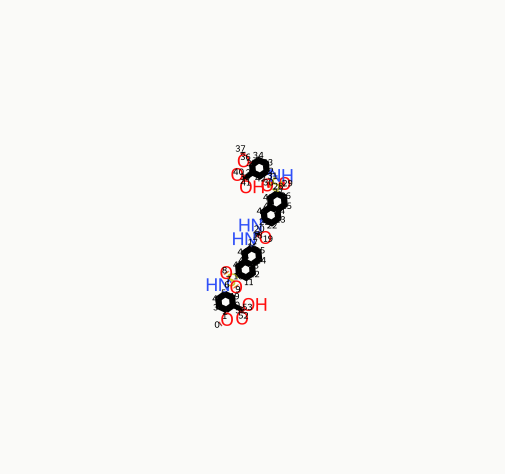 COc1ccc(NS(=O)(=O)c2ccc3ccc(NC(=O)Nc4ccc5ccc(S(=O)(=O)Nc6ccc(OC)c(C(=O)O)c6)cc5c4)cc3c2)cc1C(=O)O